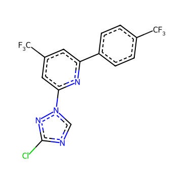 FC(F)(F)c1ccc(-c2cc(C(F)(F)F)cc(-n3cnc(Cl)n3)n2)cc1